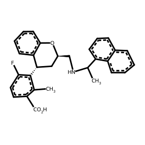 Cc1c(C(=O)O)ccc(F)c1[C@H]1C[C@H](CNC(C)c2cccc3ccccc23)Oc2ccccc21